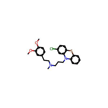 COc1ccc(CCN(C)CCCN2c3ccccc3Sc3ccc(Cl)cc32)cc1OC